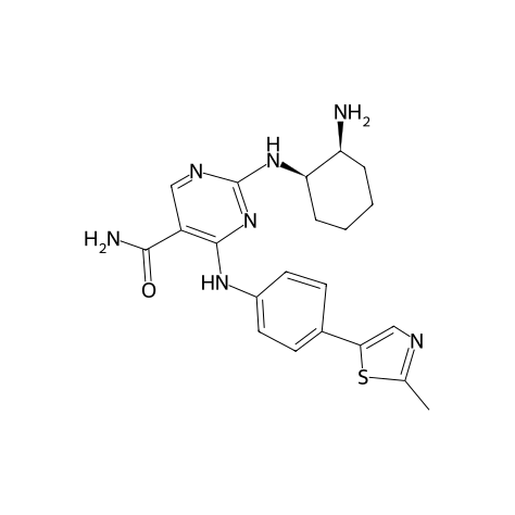 Cc1ncc(-c2ccc(Nc3nc(N[C@@H]4CCCC[C@@H]4N)ncc3C(N)=O)cc2)s1